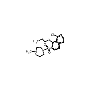 CCCOc1c(S(=O)(=O)N2CCCN(C)CC2)ccc2ccnc(Cl)c12